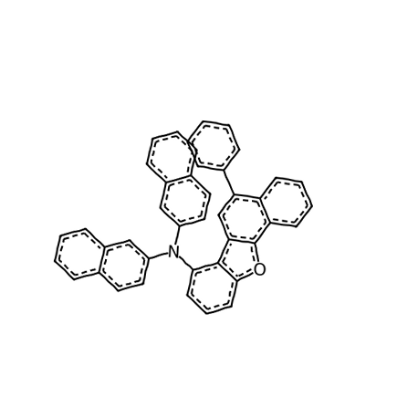 c1ccc(-c2cc3c(oc4cccc(N(c5ccc6ccccc6c5)c5ccc6ccccc6c5)c43)c3ccccc23)cc1